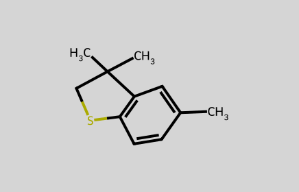 Cc1ccc2c(c1)C(C)(C)CS2